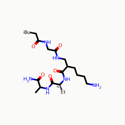 CCC(C)CC(=O)NCC(=O)NCC(CCCCN)C(=O)N[C@@H](CC)C(=O)NC(C)C(N)=O